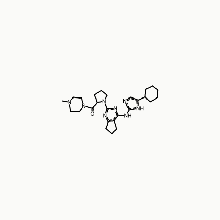 CN1CCN(C(=O)C2CCCN2c2nc3c(c(Nc4ncc(C5CCCCC5)[nH]4)n2)CCC3)CC1